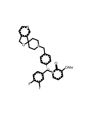 COc1cccn([C@@H](c2ccc(CN3CCC4(CC3)OCc3ccncc34)cc2)c2ccc(F)c(F)c2)c1=O